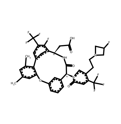 Cc1cc(C)c2c(c1)Oc1cccc(c1)[C@H](n1cc(CCN3CC(F)C3)c(C(F)(F)F)cc1=O)C(=O)N[C@H](CC(=O)O)c1cc-2cc(C(F)(F)F)c1F